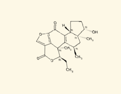 CC[C@H]1OC(=O)c2coc3c2[C@@]1(C)C1=C(C3=O)[C@@H]2CC[C@H](O)[C@@]2(C)C[C@H]1C